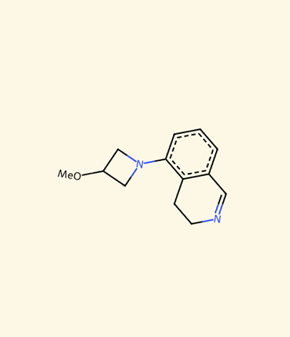 COC1CN(c2cccc3c2CCN=C3)C1